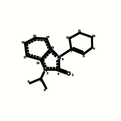 CC(C)n1c(=O)n(C2=CCCCC2)c2ccccc21